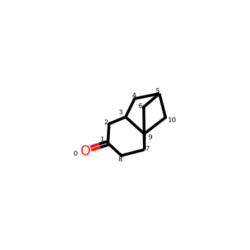 O=C1CC2CC3CC(C1)C2C3